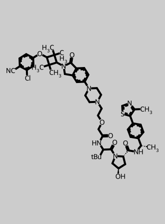 Cc1ncsc1-c1ccc([C@H](C)NC(=O)[C@@H]2C[C@@H](O)CN2C(=O)C(NC(=O)COCCN2CCN(c3ccc4c(c3)CN(C3C(C)(C)C(Oc5ccc(C#N)c(Cl)c5)C3(C)C)C4=O)CC2)C(C)(C)C)cc1